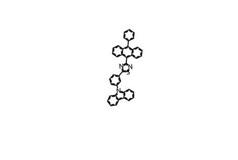 c1ccc(-c2c3ccccc3c(-c3nsc(-c4cccc(-n5c6ccccc6c6ccccc65)c4)n3)c3ccccc23)cc1